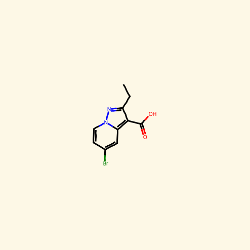 CCc1nn2ccc(Br)cc2c1C(=O)O